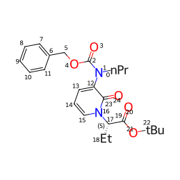 CCCN(C(=O)OCc1ccccc1)c1cccn([C@@H](CC)C(=O)OC(C)(C)C)c1=O